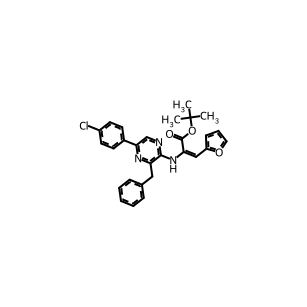 CC(C)(C)OC(=O)C(=Cc1ccco1)Nc1ncc(-c2ccc(Cl)cc2)nc1Cc1ccccc1